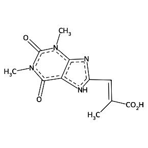 CC(=Cc1nc2c([nH]1)c(=O)n(C)c(=O)n2C)C(=O)O